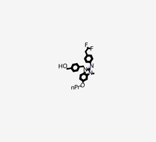 CCCOc1ccc2c(c1)n(C)/c(=N/c1ccc(CC(F)F)cc1)n2Cc1ccc(CO)cc1